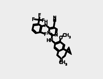 COc1cc2c(cc1Nc1ncc(C#N)c(Nc3c(F)cccc3C(F)(F)F)n1)CN(C)CC21CC1